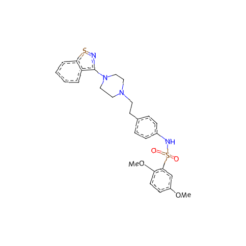 COc1ccc(OC)c(S(=O)(=O)Nc2ccc(CCN3CCN(c4nsc5ccccc45)CC3)cc2)c1